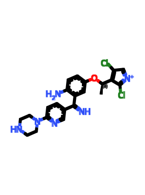 C[C@@H](Oc1ccc(N)c(C(=N)c2ccc(N3CCNCC3)nc2)c1)C1=C(Cl)C=[N+]=C1Cl